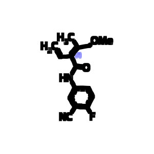 C=C/C(C(=O)Nc1ccc(F)c(C#N)c1)=C(\C)COC